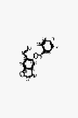 ICc1cc2c(cc1OCc1ccccc1)CCO2